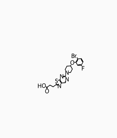 O=C(O)CCc1nc2cnc(N3CCC(Oc4cc(F)ccc4Br)CC3)nc2s1